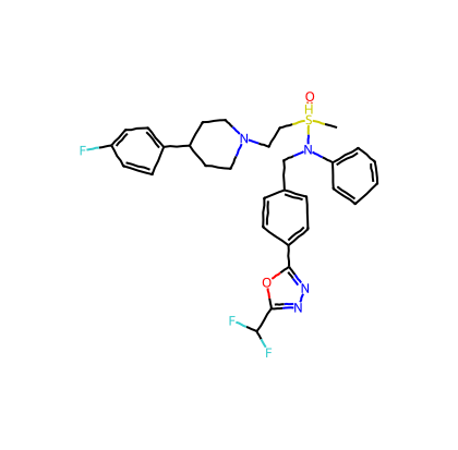 C[SH](=O)(CCN1CCC(c2ccc(F)cc2)CC1)N(Cc1ccc(-c2nnc(C(F)F)o2)cc1)c1ccccc1